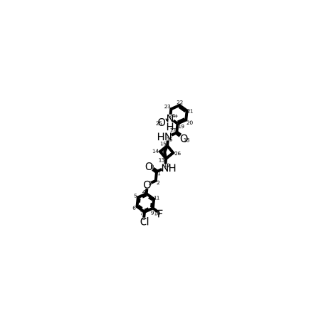 O=C(COc1ccc(Cl)c(F)c1)NC12CC(NC(=O)C3=CC=CC[NH+]3[O-])(C1)C2